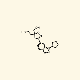 OCCC1(CO)CC(c2ccc3cnn(C4CCCC4)c3c2)=NO1